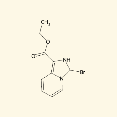 CCOC(=O)C1=C2C=CC=CN2C(Br)N1